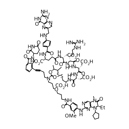 CC[C@@H]1C(=O)N(C)c2cnc(Nc3ccc(C(=O)NCCCOCCCN(CCC#Cc4cccc5c4CN(C4CCC(=O)NC4=O)C5=O)C(=O)OC(C)C(C)SSC[C@@H](NC(=O)[C@@H](CC(=O)O)NC(=O)[C@@H](CC(=O)O)NC(=O)[C@@H](CCCNC(=N)N)NC(=O)[C@@H](CC(=O)O)NC(=O)CC[C@H](NC(=O)c4ccc(NCc5cnc6nc(N)[nH]c(=O)c6n5)cc4)C(=O)O)C(=O)O)cc3OC)nc2N1C1CCCC1